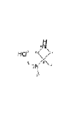 CN(C)C1(C)CNC1.Cl